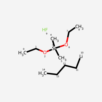 CCO[Si](C)(C)OCC.F.[Li][CH2]CCC